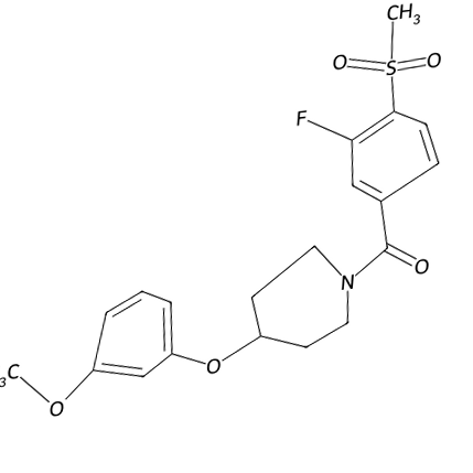 CS(=O)(=O)c1ccc(C(=O)N2CCC(Oc3cccc(OC(F)(F)F)c3)CC2)cc1F